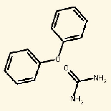 NC(N)=O.c1ccc(Oc2ccccc2)cc1